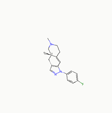 CC[C@]12Cc3cnn(-c4ccc(F)cc4)c3C=C1CCN(C)C2